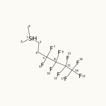 C[SiH](C)CCC(F)(F)C(F)(F)C(F)(F)C(F)(F)F